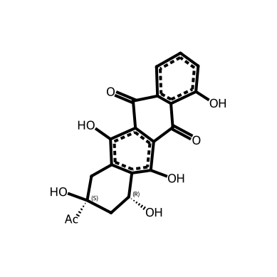 CC(=O)[C@]1(O)Cc2c(O)c3c(c(O)c2[C@H](O)C1)C(=O)c1c(O)cccc1C3=O